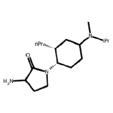 CCC[C@@H]1CC(N(C)C(C)C)CC[C@@H]1N1CCC(N)C1=O